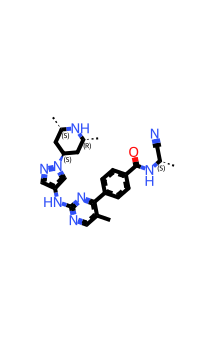 Cc1cnc(Nc2cnn([C@@H]3C[C@@H](C)N[C@@H](C)C3)c2)nc1-c1ccc(C(=O)N[C@@H](C)C#N)cc1